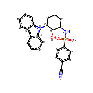 N#Cc1ccc(S(=O)(=O)N[C@@H]2CCC[C@H](n3c4ccccc4c4ccccc43)[C@H]2O)cc1